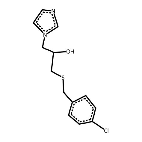 OC(CSCc1ccc(Cl)cc1)Cn1ccnc1